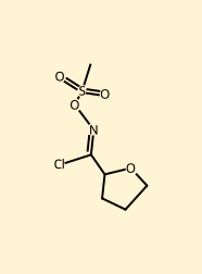 CS(=O)(=O)ON=C(Cl)C1CCCO1